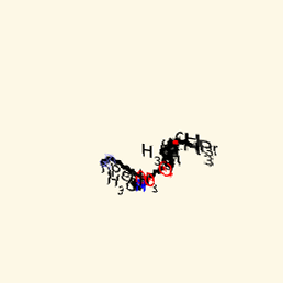 CCCCC/C=C\C/C=C\CCCCCCCCOCC(CN1CCC(C)(C)C1)OCCCCCO[C@H]1CC[C@@]2(C)C(=CC[C@H]3[C@@H]4CC[C@H]([C@H](C)CCCC(C)C)[C@@]4(C)CC[C@@H]32)C1